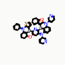 c1ccc(N2c3cccc4c3B(c3ccsc32)c2nc3c(cc2O4)N(c2cccnc2)c2cccc4c2B3c2c(oc3ccccc23)N4c2cccnc2)cc1